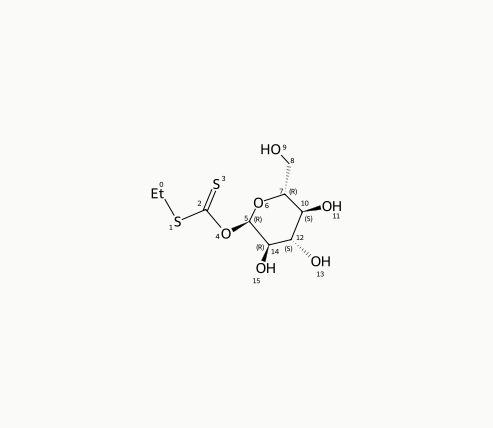 CCSC(=S)O[C@H]1O[C@H](CO)[C@@H](O)[C@H](O)[C@H]1O